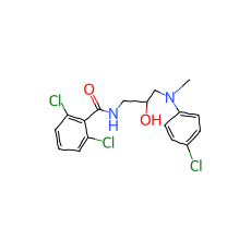 CN(CC(O)CNC(=O)c1c(Cl)cccc1Cl)c1ccc(Cl)cc1